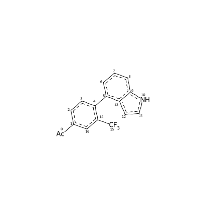 CC(=O)c1ccc(-c2cccc3[nH]ccc23)c(C(F)(F)F)c1